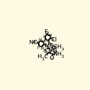 CC1=C(C(N)=O)N(S(C)(=O)=O)C(N(Cc2ccc(F)cc2Cl)c2ccc(C#N)cc2)S1